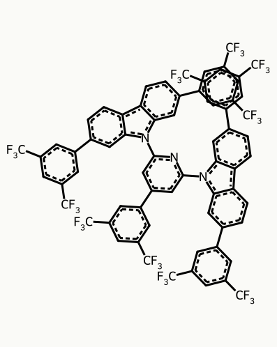 FC(F)(F)c1cc(-c2cc(-n3c4cc(-c5cc(C(F)(F)F)cc(C(F)(F)F)c5)ccc4c4ccc(-c5cc(C(F)(F)F)cc(C(F)(F)F)c5)cc43)nc(-n3c4cc(-c5cc(C(F)(F)F)cc(C(F)(F)F)c5)ccc4c4ccc(-c5cc(C(F)(F)F)cc(C(F)(F)F)c5)cc43)c2)cc(C(F)(F)F)c1